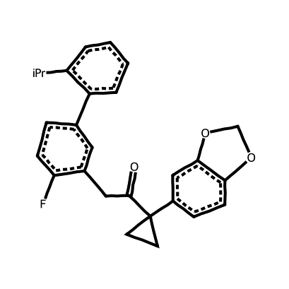 CC(C)c1ccccc1-c1ccc(F)c(CC(=O)C2(c3ccc4c(c3)OCO4)CC2)c1